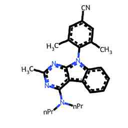 CCCN(CCC)c1nc(C)nc2c1c1ccccc1n2-c1c(C)cc(C#N)cc1C